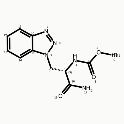 CC(C)(C)OC(=O)N[C@@H](Cn1nnc2ccccc21)C(N)=O